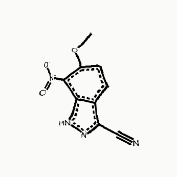 COc1ccc2c(C#N)n[nH]c2c1[N+](=O)[O-]